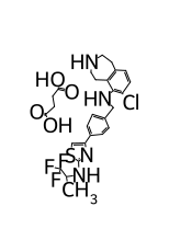 CC(Nc1nc(-c2ccc(CNc3c(Cl)ccc4c3CCNCC4)cc2)cs1)C(F)(F)F.O=C(O)CCC(=O)O